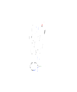 CN1C(=O)C=C[C@]2(C)[C@H]3CC[C@]4(C)[C@@H](Nc5cccnc5Cl)CC[C@H]4[C@@H]3CC[C@@H]12